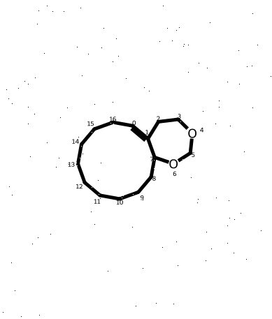 C1=C2CCOCOC2CCCCCCCCC1